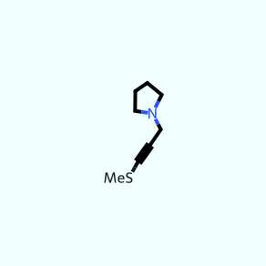 CSC#CCN1CCCC1